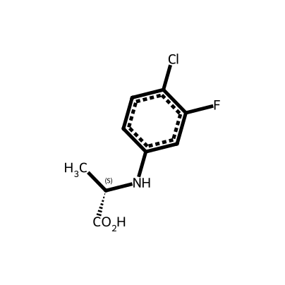 C[C@H](Nc1ccc(Cl)c(F)c1)C(=O)O